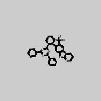 CCC1(CC)c2cc3c(cc2-c2c(-c4nc(-c5ccccc5)nc(-c5ccccc5)n4)cccc21)oc1ncccc13